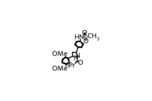 CCCC(=O)N1N=C(c2ccc(NS(C)(=O)=O)cc2)CC1c1cc(OC)ccc1OC